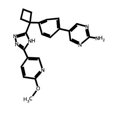 COc1ccc(-c2nnc(C3(c4ccc(-c5cnc(N)nc5)cc4)CCC3)[nH]2)cn1